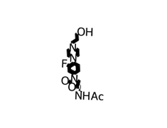 CC(=O)NC[C@H]1CN(c2ccc(N3CCN(CCCO)CC3)c(F)c2)C(=O)O1